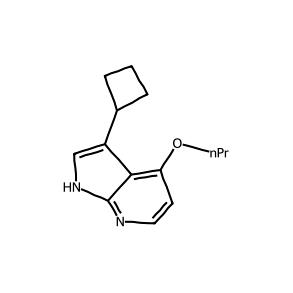 CCCOc1ccnc2[nH]cc(C3CCC3)c12